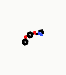 c1ccc(Oc2ccc(OCn3cccn3)cc2)cc1